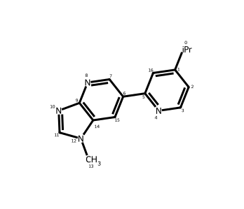 CC(C)c1ccnc(-c2cnc3ncn(C)c3c2)c1